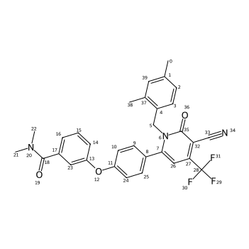 Cc1ccc(Cn2c(-c3ccc(Oc4cccc(C(=O)N(C)C)c4)cc3)cc(C(F)(F)F)c(C#N)c2=O)c(C)c1